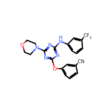 N#Cc1cccc(Oc2nc(Nc3cccc(C(F)(F)F)c3)nc(N3CCOCC3)n2)c1